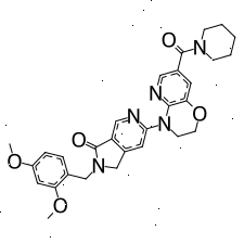 COc1ccc(CN2Cc3cc(N4CCOc5cc(C(=O)N6CCCCC6)cnc54)ncc3C2=O)c(OC)c1